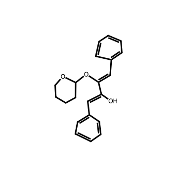 OC(=Cc1ccccc1)C(=Cc1ccccc1)OC1CCCCO1